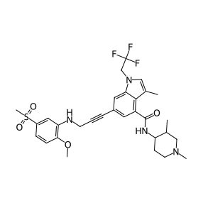 COc1ccc(S(C)(=O)=O)cc1NCC#Cc1cc(C(=O)NC2CCN(C)CC2C)c2c(C)cn(CC(F)(F)F)c2c1